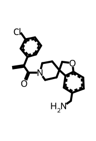 C=C(C(=O)N1CCC2(CC1)COc1ccc(CN)cc12)c1cccc(Cl)c1